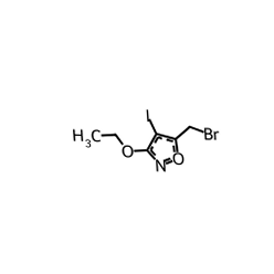 CCOc1noc(CBr)c1I